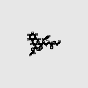 C#CCN(CCC(=O)OCC)C(=O)N1Cc2ccccc2C[C@H]1C(=O)OCC